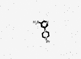 Bc1cncc(N2CCN(C(C)C)CC2)c1